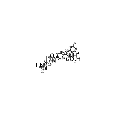 Cc1cc(C)c(NC(Cc2ccc(-c3nc(CNc4ncc[nH]4)co3)cc2)C(=O)O)c(C)c1